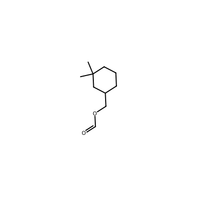 CC1(C)CCCC(COC=O)C1